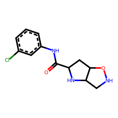 O=C(Nc1cccc(Cl)c1)C1CC2ONCC2N1